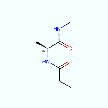 CCC(=O)N[C@@H](C)C(=O)NC